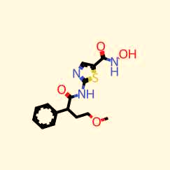 COCCC(C(=O)Nc1ncc(C(=O)NO)s1)c1ccccc1